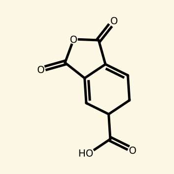 O=C1OC(=O)C2=CC(C(=O)O)CC=C12